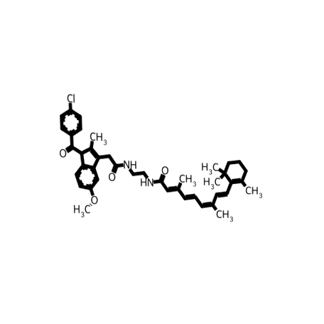 COc1ccc2c(c1)C(CC(=O)NCCNC(=O)/C=C(C)/C=C/C=C(C)\C=C\C1=C(C)CCCC1(C)C)=C(C)C2C(=O)c1ccc(Cl)cc1